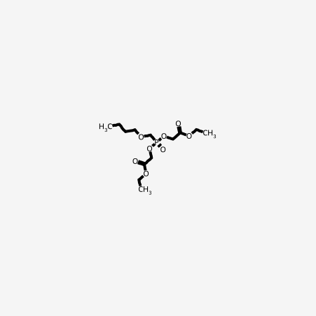 CCCCOCP(=O)(OCC(=O)OCC)OCC(=O)OCC